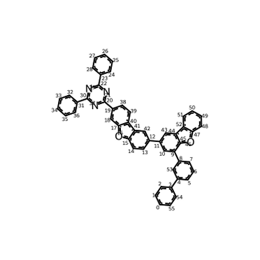 c1ccc(-c2cccc(-c3cc(-c4ccc5oc6cc(-c7nc(-c8ccccc8)nc(-c8ccccc8)n7)ccc6c5c4)cc4c3oc3ccccc34)c2)cc1